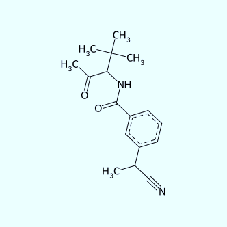 CC(=O)C(NC(=O)c1cccc(C(C)C#N)c1)C(C)(C)C